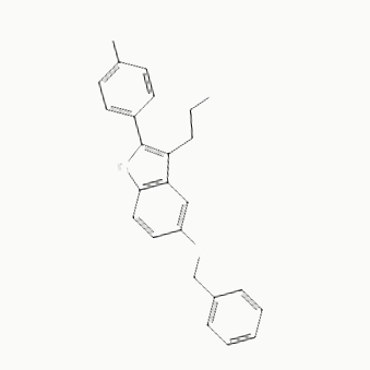 O=C(O)CCc1c(-c2ccc(F)cc2)[nH]c2ccc(OCc3ccccc3)cc12